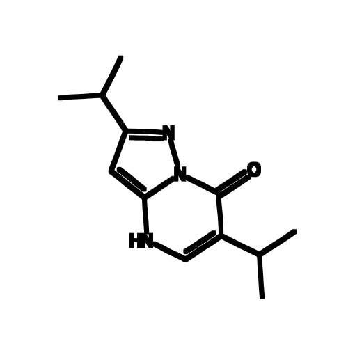 CC(C)c1cc2[nH]cc(C(C)C)c(=O)n2n1